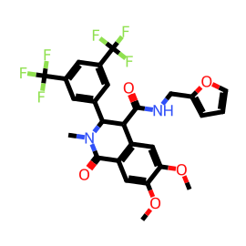 COc1cc2c(cc1OC)C(C(=O)NCc1ccco1)C(c1cc(C(F)(F)F)cc(C(F)(F)F)c1)N(C)C2=O